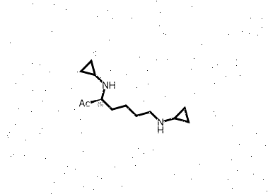 CC(=O)[C@H](CCCCNC1CC1)NC1CC1